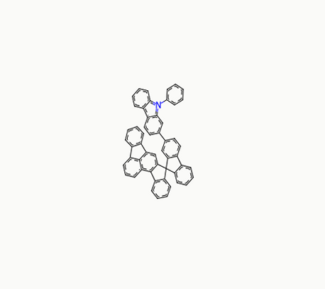 c1ccc(-n2c3ccccc3c3ccc(-c4ccc5c(c4)C4(c6ccccc6-5)c5ccccc5-c5c4cc4c6c(cccc56)-c5ccccc5-4)cc32)cc1